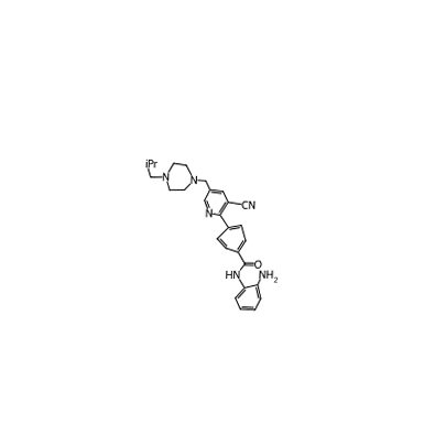 CC(C)CN1CCN(Cc2cnc(-c3ccc(C(=O)Nc4ccccc4N)cc3)c(C#N)c2)CC1